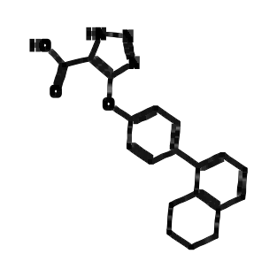 O=C(O)c1[nH]nnc1Oc1ccc(-c2cccc3c2CCCC3)cc1